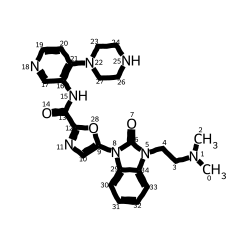 CN(C)CCn1c(=O)n(-c2cnc(C(=O)Nc3cnccc3N3CCNCC3)o2)c2ccccc21